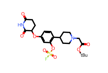 CC(C)(C)OC(=O)CN1CCC(c2ccc(OC3CCC(=O)NC3=O)cc2OS(=O)(=O)F)CC1